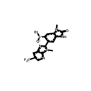 CC[S+]([O-])c1cc2c(cc1-c1nc3cc(C(F)(F)F)cnc3n1C)[nH]c(=O)n2C